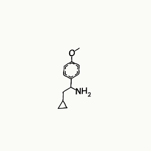 COc1ccc(C(N)CC2CC2)cc1